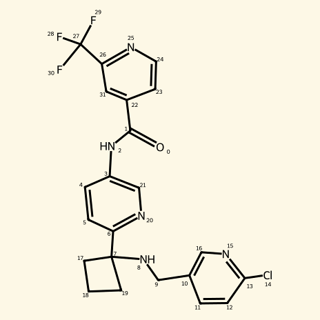 O=C(Nc1ccc(C2(NCc3ccc(Cl)nc3)CCC2)nc1)c1ccnc(C(F)(F)F)c1